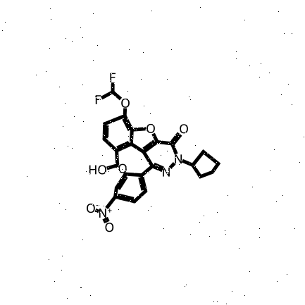 O=C(O)c1ccc(OC(F)F)c2oc3c(=O)n(C4CCCC4)nc(-c4ccc([N+](=O)[O-])cc4)c3c12